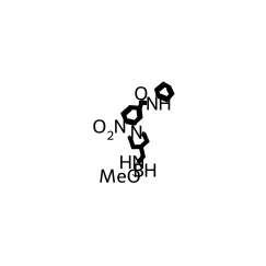 COBNCC1CCN(c2cc(C(=O)Nc3ccccc3)ccc2[N+](=O)[O-])CC1